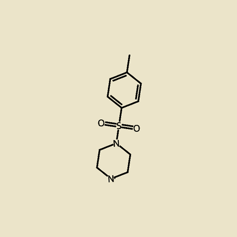 Cc1ccc(S(=O)(=O)N2CC[N]CC2)cc1